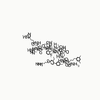 CCc1cc(OCCCCN=[N+]=[N-])ccc1-c1ccc(C[C@H](NC(=O)[C@H](CCC(=O)O)NC(=O)[C@H](C)NC(=O)[C@@H](NC(=O)[C@](C)(Cc2ccccc2F)NC(=O)[C@@H](NC(=O)CNC(=O)[C@H](Cc2nn[nH]n2)NC(=O)C(C)(C)NC(=O)CCc2cnc[nH]2)[C@@H](C)O)[C@@H](C)O)C(=O)N[C@@H](CCCc2cc(C)cc(C)c2)C(N)=O)cc1